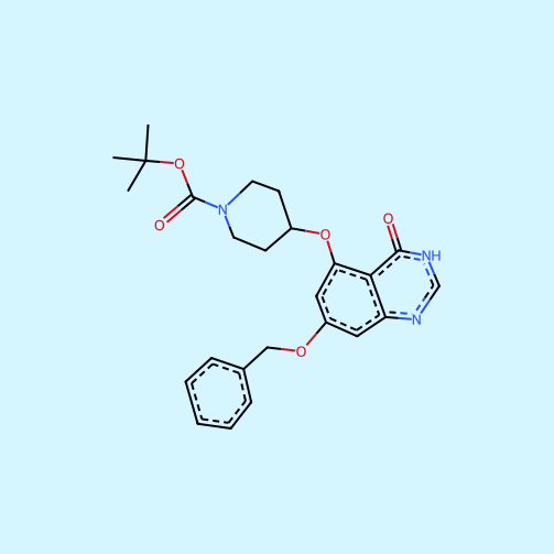 CC(C)(C)OC(=O)N1CCC(Oc2cc(OCc3ccccc3)cc3nc[nH]c(=O)c23)CC1